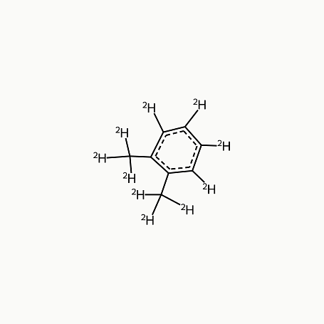 [2H]c1c([2H])c([2H])c(C([2H])([2H])[2H])c(C([2H])([2H])[2H])c1[2H]